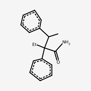 CCC(C(N)=O)(c1ccccc1)C(C)c1ccccc1